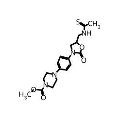 COC(=O)N1CCN(c2ccc(N3CC(CNC(C)=S)OC3=O)cc2)CC1